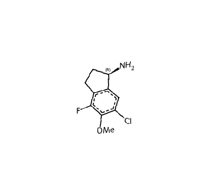 COc1c(Cl)cc2c(c1F)CC[C@H]2N